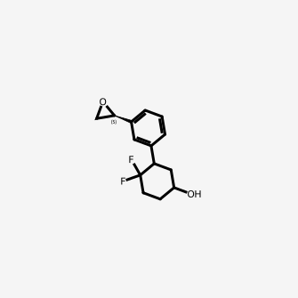 OC1CCC(F)(F)C(c2cccc([C@H]3CO3)c2)C1